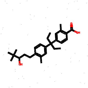 CCC(CC)(c1ccc(CCC(O)C(C)(C)C)c(C)c1)c1ccc(C(=O)O)c(C)c1